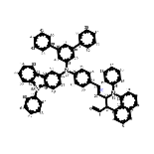 C=CC1c2cccc3cccc(c23)N(c2ccccc2)C1/C=C/c1ccc(N(c2cc(-c3ccccc3)cc(-c3ccccc3)c2)c2ccc3c(c2)c2ccccc2n3-c2ccccc2)cc1